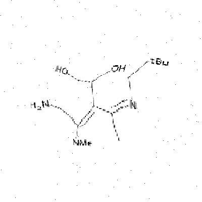 CN/C(N)=C(\C(C)=N/CC(C)(C)C)C(O)O